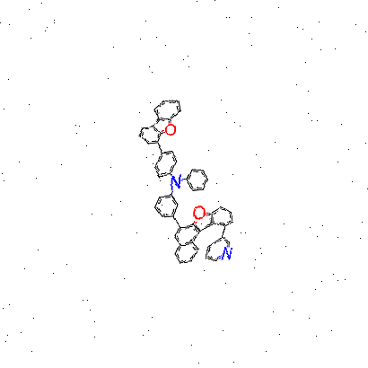 c1ccc(N(c2ccc(-c3cccc4c3oc3ccccc34)cc2)c2cccc(-c3cc4ccccc4c4c3oc3cccc(-c5cccnc5)c34)c2)cc1